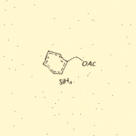 CC(=O)OCc1ccccc1.[SiH4]